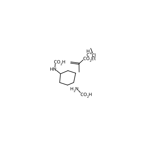 C.C=C(C)C(=O)OCC.CCl.NC(=O)O.O=C(O)NC1CCCCC1